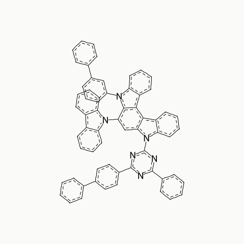 c1ccc(-c2ccc(-c3nc(-c4ccccc4)nc(-n4c5ccccc5c5c6c7ccccc7n(-c7cccc(-c8ccccc8)c7)c6c(-n6c7ccccc7c7ccccc76)cc54)n3)cc2)cc1